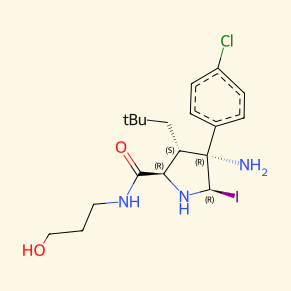 CC(C)(C)C[C@H]1[C@H](C(=O)NCCCO)N[C@H](I)[C@]1(N)c1ccc(Cl)cc1